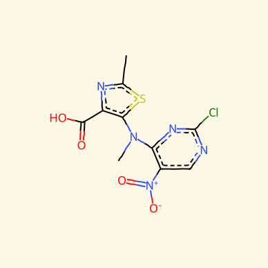 Cc1nc(C(=O)O)c(N(C)c2nc(Cl)ncc2[N+](=O)[O-])s1